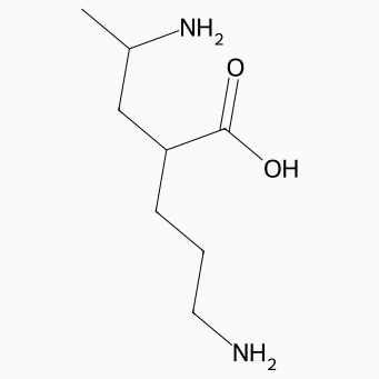 CC(N)CC(CCCN)C(=O)O